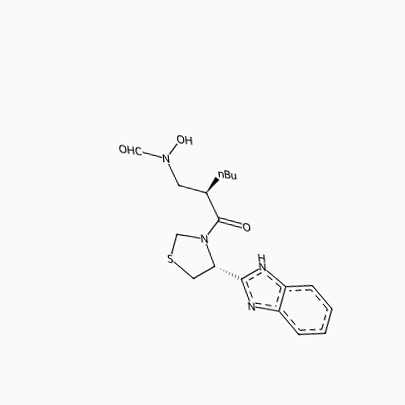 CCCC[C@H](CN(O)C=O)C(=O)N1CSC[C@H]1c1nc2ccccc2[nH]1